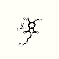 CCNCC.CCOc1cc2c(cc1[N+](=O)[O-])C(=O)N(CCO[N+](=O)[O-])C2=O